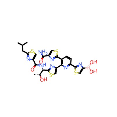 CC(C)Cc1nc(C(=O)N[C@H](c2nc(-c3nc(-c4nc(B(O)O)cs4)ccc3-c3nc(C(N)=O)cs3)cs2)[C@@H](C)O)cs1